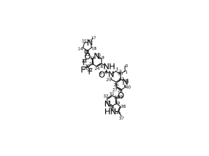 CC[C@@H]1CN(C(=O)Nc2cnc(O[C@H]3CCN(C)C3)c(C(F)(F)F)c2)Cc2cc(Oc3ccnc4[nH]c(C)cc34)cnc21